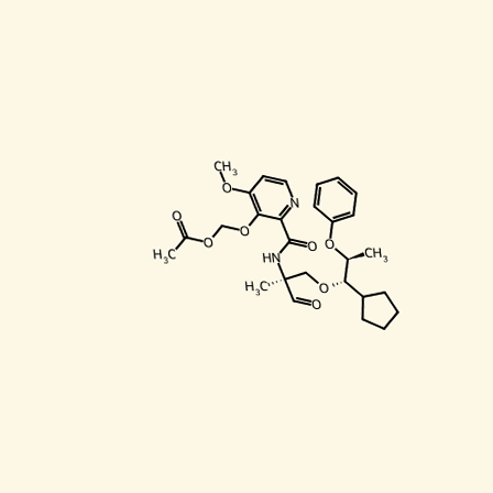 COc1ccnc(C(=O)N[C@](C)(C=O)CO[C@@H](C2CCCC2)[C@H](C)Oc2ccccc2)c1OCOC(C)=O